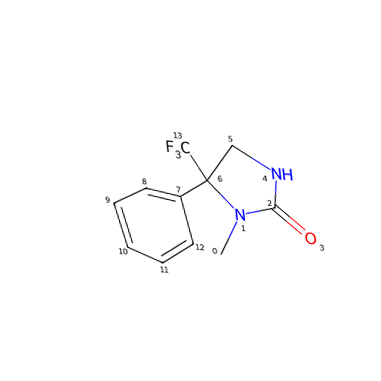 CN1C(=O)NCC1(c1ccccc1)C(F)(F)F